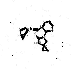 C#Cc1cccnc1N1CC2(CC2)NC1=O.c1cc2cc-2c1